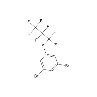 FC(F)(F)C(F)(F)C(F)(F)Sc1cc(Br)[c]c(Br)c1